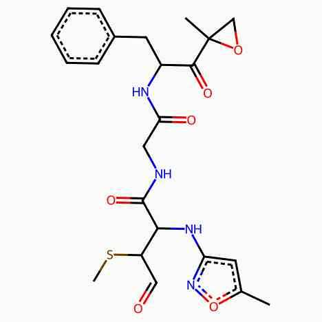 CSC(C=O)C(Nc1cc(C)on1)C(=O)NCC(=O)NC(Cc1ccccc1)C(=O)C1(C)CO1